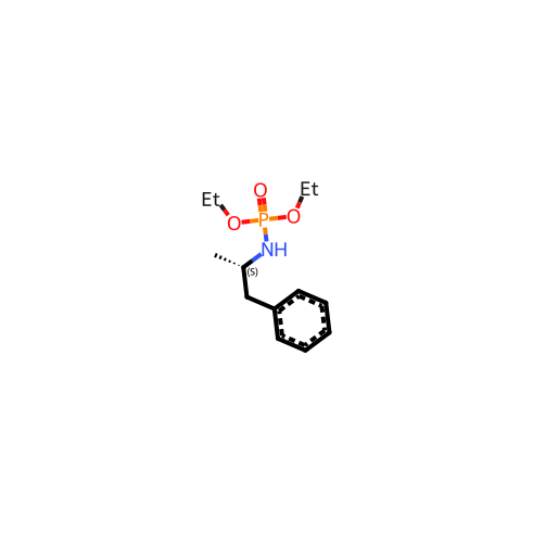 CCOP(=O)(N[C@@H](C)Cc1ccccc1)OCC